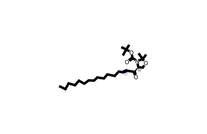 CCCCCCCCCCCCC/C=C/C(=O)[C@@H]1COC(C)(C)N1C(=O)OC(C)(C)C